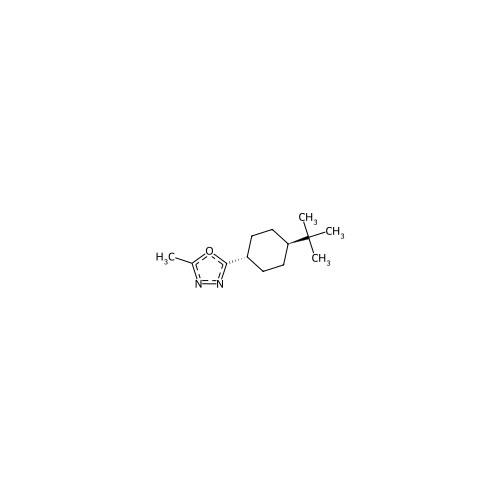 Cc1nnc([C@H]2CC[C@H](C(C)(C)C)CC2)o1